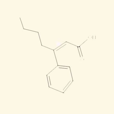 CCCC/C(=C/C(=O)O)c1ccccc1